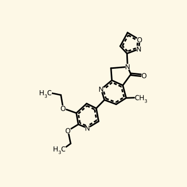 CCOc1cc(-c2cc(C)c3c(n2)CN(c2ccon2)C3=O)cnc1OCC